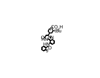 CC(C)(C)C1CC(c2cc(=O)[nH]c3c4c(NC(=O)c5ccccc5F)cccc4nn23)CCN1C(=O)O